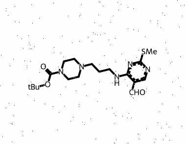 CSc1ncc(C=O)c(NCCCN2CCN(C(=O)OC(C)(C)C)CC2)n1